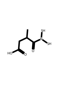 CC(CC(=O)O)C(=O)N(S)S